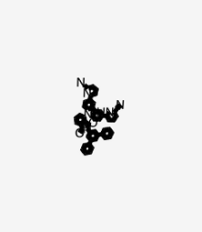 N#Cc1cccc(-c2ccc3c(c2)c2cc(C4=CC=CC(C#N)N4)ccc2n3-c2cccc3c2C(=O)N(c2cc(-c4ccccc4)cc(-c4ccccc4)c2)C3=O)n1